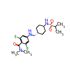 CC(C)S(=O)(=O)N[C@H]1CC[C@H](CNc2cc(F)c(C(=O)N(C)C)c(F)c2)CC1